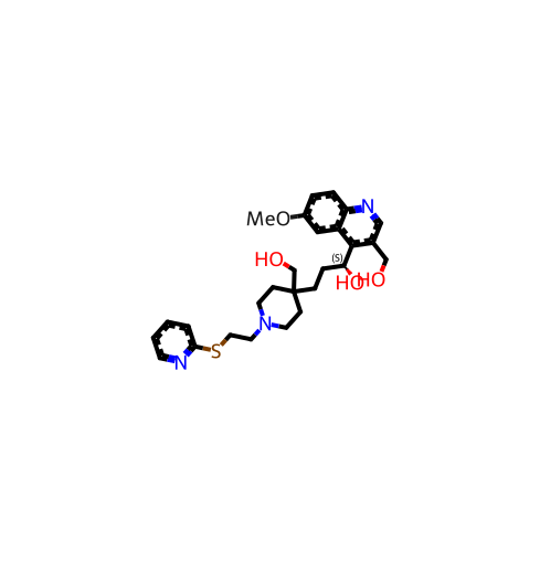 COc1ccc2ncc(CO)c([C@@H](O)CCC3(CO)CCN(CCSc4ccccn4)CC3)c2c1